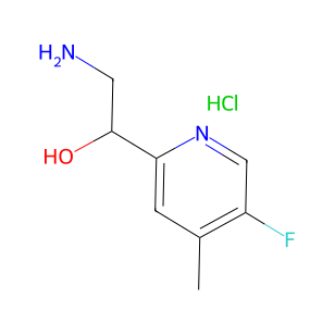 Cc1cc(C(O)CN)ncc1F.Cl